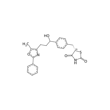 Cc1oc(-c2ccccc2)nc1CCC(O)c1ccc(C[C@@H]2SC(=O)NC2=O)cc1